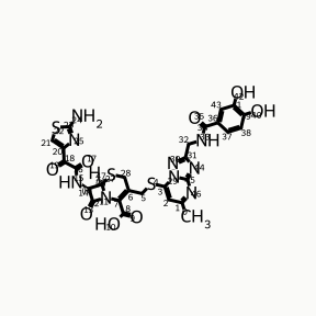 Cc1cc(SCC2=C(C(=O)O)N3C(=O)[C@@H](NC(=O)C(=O)c4csc(N)n4)[C@H]3SC2)n2nc(CNC(=O)c3ccc(O)c(O)c3)nc2n1